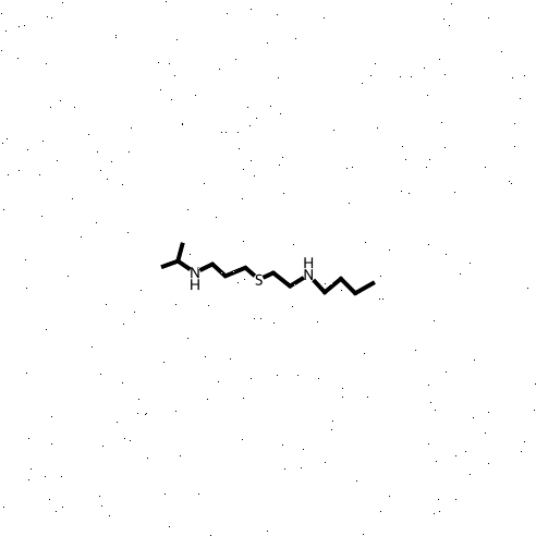 CCCCNCCSCCCNC(C)C